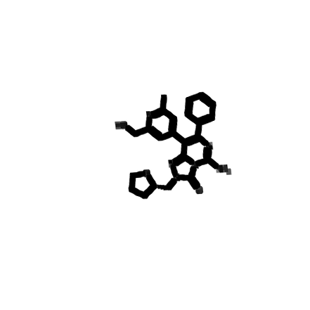 Cc1cc(-c2c(-c3ccccc3)nc(N)n3c(=O)n(C[C@@H]4CCCO4)nc23)cc(CO)n1